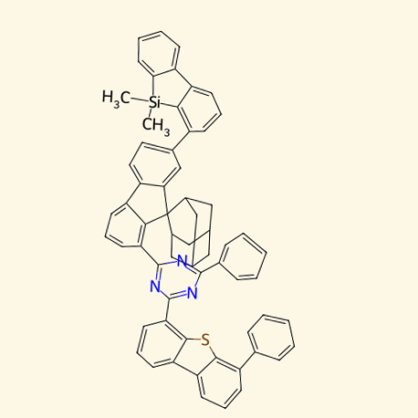 C[Si]1(C)c2ccccc2-c2cccc(-c3ccc4c(c3)C3(c5c(-c6nc(-c7ccccc7)nc(-c7cccc8c7sc7c(-c9ccccc9)cccc78)n6)cccc5-4)C4CC5CC(C4)CC3C5)c21